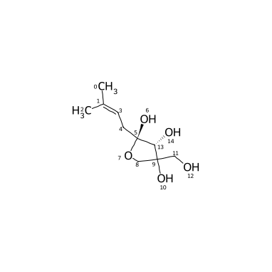 CC(C)=CC[C@@]1(O)OCC(O)(CO)[C@H]1O